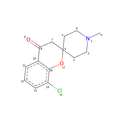 CN1CCC2(CC1)CC(=O)c1cccc(Cl)c1O2